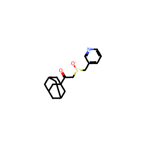 O=C(C[S+]([O-])Cc1cccnc1)C12CC3CC(CC(C3)C1)C2